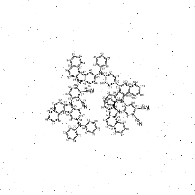 N#Cc1cc(-n2c3ccccc3c3ccc4ccccc4c32)c(-n2c3ccccc3c3c(-c4ccc(N(c5ccccc5)c5ccc6c(c5)c5c7ccccc7ccc5n6-c5ccc(-n6c7ccc(N(c8ccccc8)c8ccccc8)cc7c7c8ccccc8ccc76)c(C#N)c5C#N)cc4)cc4ccccc4c32)cc1C#N